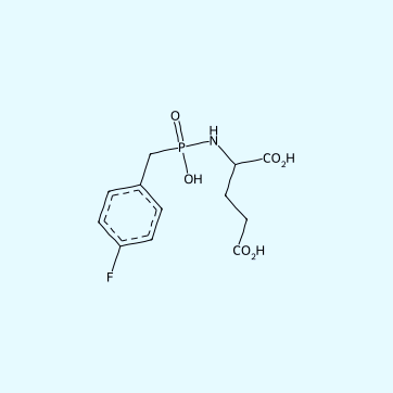 O=C(O)CCC(NP(=O)(O)Cc1ccc(F)cc1)C(=O)O